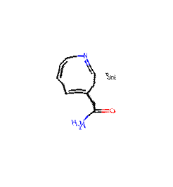 NC(=O)c1cccnc1.[Sn]